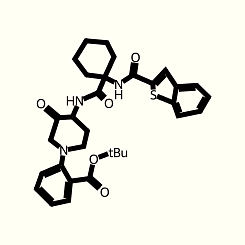 CC(C)(C)OC(=O)c1ccccc1N1CCC(NC(=O)C2(NC(=O)c3cc4ccccc4s3)CCCCC2)C(=O)C1